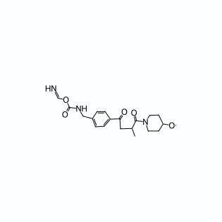 CC(CC(=O)c1ccc(CNC(=O)OC=N)cc1)C(=O)N1CCC([O])CC1